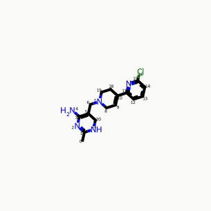 CC1=NC(N)=C(CN2CC=C(c3cccc(Cl)n3)CC2)CN1